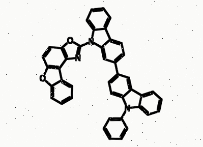 c1ccc(-n2c3ccccc3c3cc(-c4ccc5c6ccccc6n(-c6nc7c(ccc8oc9ccccc9c87)o6)c5c4)ccc32)cc1